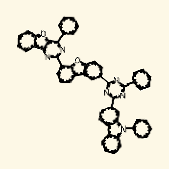 c1ccc(-c2nc(-c3ccc4oc5c(-c6nc(-c7ccccc7)c7oc8ccccc8c7n6)cccc5c4c3)nc(-c3ccc4c5ccccc5n(-c5ccccc5)c4c3)n2)cc1